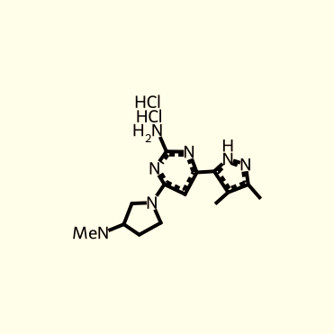 CNC1CCN(c2cc(-c3[nH]nc(C)c3C)nc(N)n2)C1.Cl.Cl